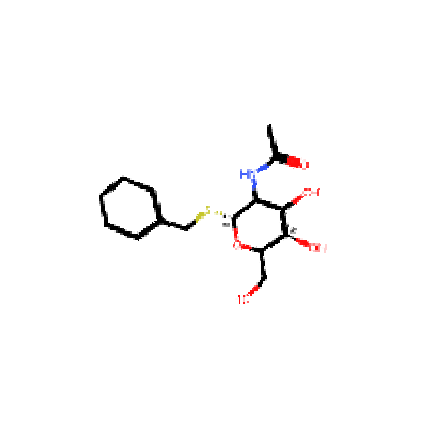 CC(=O)NC1C(O)[C@@H](O)C(CO)O[C@@H]1SCC1CCCCC1